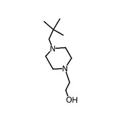 CC(C)(C)CN1CCN(CCO)CC1